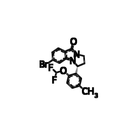 Cc1ccc(OC(F)F)c([C@H]2CCn3c(=O)c4ccc(Br)cc4n32)c1